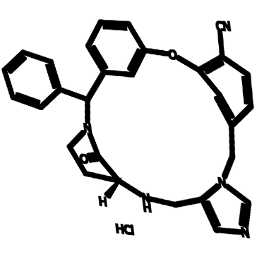 Cl.N#Cc1ccc2cc1Oc1cccc(c1)C(c1ccccc1)N1CC[C@@H](NCc3cncn3C2)C1=O